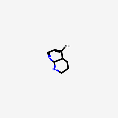 CC(C)(C)C1=CC=NC2NCCCC12